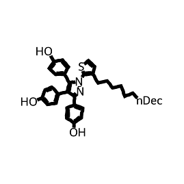 CCCCCCCCCCCCCCCCc1ccsc1-n1nc(-c2ccc(O)cc2)c(-c2ccc(O)cc2)c1-c1ccc(O)cc1